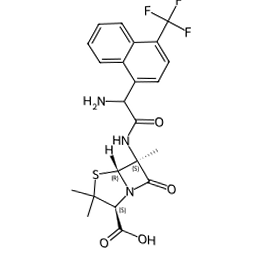 CC1(C)S[C@H]2N(C(=O)[C@]2(C)NC(=O)C(N)c2ccc(C(F)(F)F)c3ccccc23)[C@H]1C(=O)O